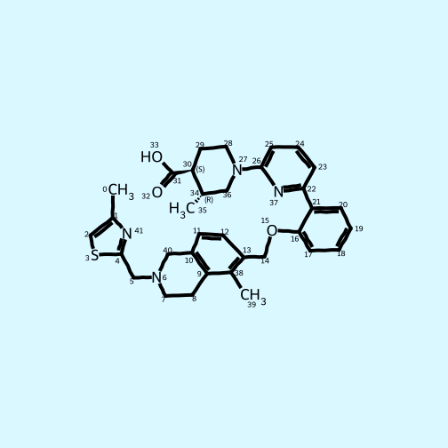 Cc1csc(CN2CCc3c(ccc(COc4ccccc4-c4cccc(N5CC[C@H](C(=O)O)[C@@H](C)C5)n4)c3C)C2)n1